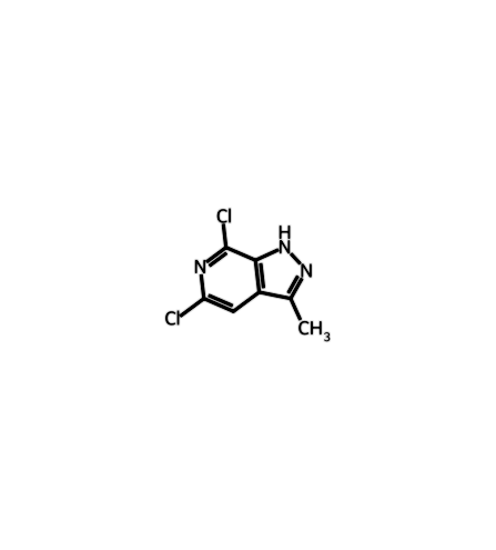 Cc1n[nH]c2c(Cl)nc(Cl)cc12